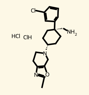 Cc1nc2c(o1)CN([C@H]1CC[C@](CN)(c3cccc(Cl)c3)CC1)CC2.Cl.Cl